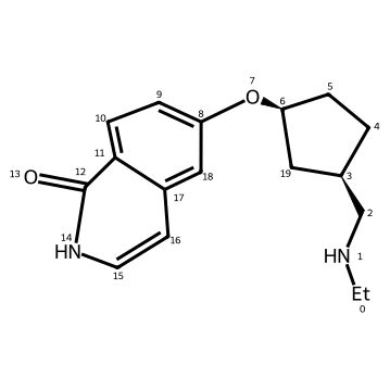 CCNC[C@@H]1CC[C@H](Oc2ccc3c(=O)[nH]ccc3c2)C1